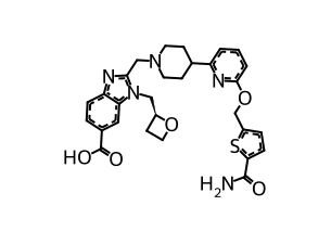 NC(=O)c1ccc(COc2cccc(C3CCN(Cc4nc5ccc(C(=O)O)cc5n4C[C@@H]4CCO4)CC3)n2)s1